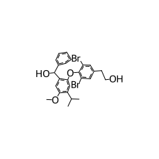 COc1cc(C(O)c2ccccc2)c(Oc2c(Br)cc(CCO)cc2Br)cc1C(C)C